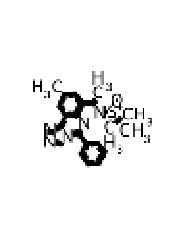 CC(=N[S@+]([O-])C(C)(C)C)c1cc(C)cc2c1nc(-c1ccccc1)n1cnnc21